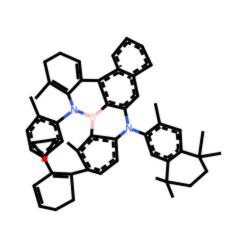 CC1=C2C(=CCC1)c1c3c(cc4ccccc14)N(c1cc4c(cc1C)C(C)(C)CCC4(C)C)c1ccc(C4=C(C5CC5)C=CCC4)c(C)c1B3N2c1ccccc1C